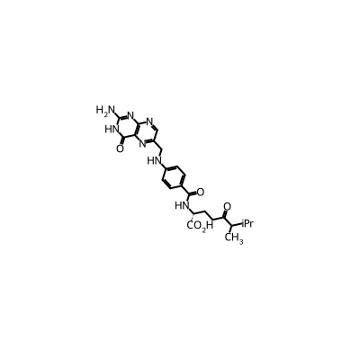 CC(C)C(C)C(=O)CC[C@@H](NC(=O)c1ccc(NCc2cnc3nc(N)[nH]c(=O)c3n2)cc1)C(=O)O